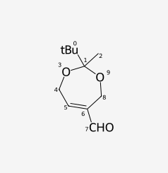 CC(C)(C)C1(C)OCC=C(C=O)CO1